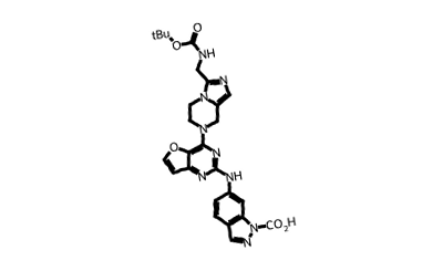 CC(C)(C)OC(=O)NCc1ncc2n1CCN(c1nc(Nc3ccc4cnn(C(=O)O)c4c3)nc3ccoc13)C2